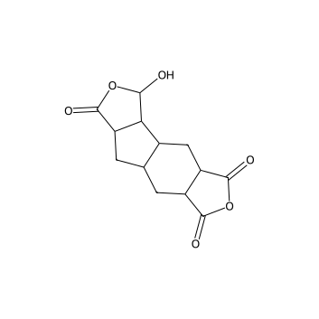 O=C1OC(=O)C2CC3C(CC12)CC1C(=O)OC(O)C13